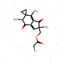 CC1=C2C(=O)C(C)(COC(=O)CCl)C=C2C(=O)[C@@H](C)C12CC2